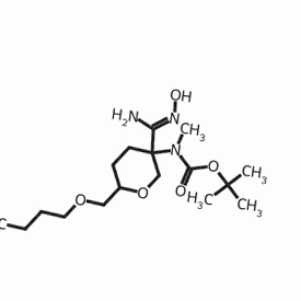 CCCCOCC1CCC(/C(N)=N/O)(N(C)C(=O)OC(C)(C)C)CO1